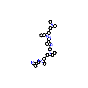 c1ccc(-n2c3ccccc3c3cc(-c4ccc5c(c4)c4cc6ccccc6cc4n5-c4cc5c(cn4)-c4cnc(-c6ccc(-n7c8ccc(-c9ccc%10c(c9)c9ccccc9n%10-c9cc%10c(cn9)-c9cncc%11cccc-%10c9%11)cc8c8ccc9ccccc9c87)cc6)c6cccc-5c46)ccc32)cc1